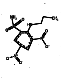 CCCNc1c([N+](=O)[O-])cc([N+](=O)[O-])cc1S(N)(=O)=O